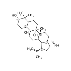 C=C(C)[C@@H]1CC[C@]2(C=N)CC[C@]3(C)C(CCC4[C@@]5(C)CC[C@H](O)C(C)(C)C5CC[C@]43C)C12